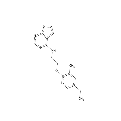 CCc1ccc(OCCNc2ncnc3sccc23)c(C)c1